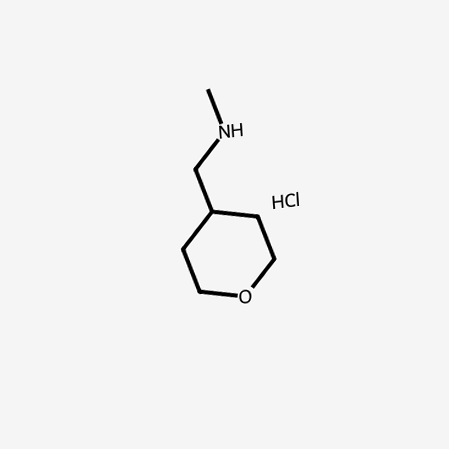 CNCC1CCOCC1.Cl